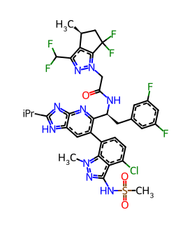 CC(C)c1nc2nc([C@H](Cc3cc(F)cc(F)c3)NC(=O)Cn3nc(C(F)F)c4c3C(F)(F)C[C@@H]4C)c(-c3ccc(Cl)c4c(NS(C)(=O)=O)nn(C)c34)cc2[nH]1